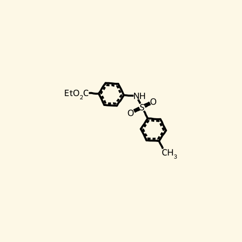 CCOC(=O)c1ccc(NS(=O)(=O)c2ccc(C)cc2)cc1